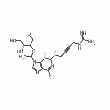 CC(O[C@H](CO)[C@H](O)CO)n1cnc2c1NC(NCC#CCNC(=N)N)N=C2S